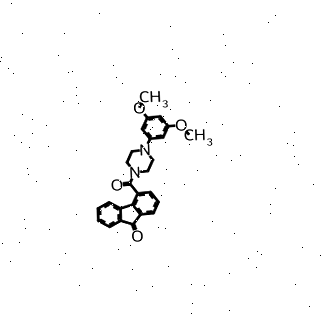 COc1cc(OC)cc(N2CCN(C(=O)c3cccc4c3-c3ccccc3C4=O)CC2)c1